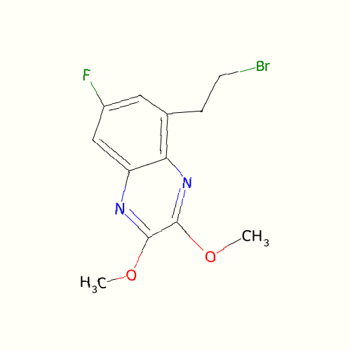 COc1nc2cc(F)cc(CCBr)c2nc1OC